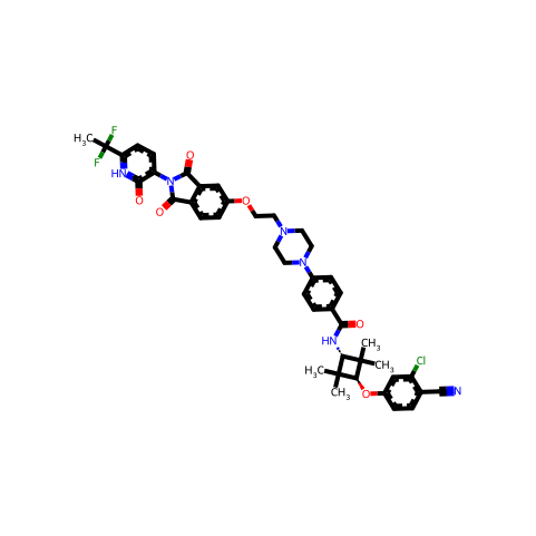 CC(F)(F)c1ccc(N2C(=O)c3ccc(OCCN4CCN(c5ccc(C(=O)N[C@H]6C(C)(C)[C@H](Oc7ccc(C#N)c(Cl)c7)C6(C)C)cc5)CC4)cc3C2=O)c(=O)[nH]1